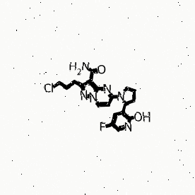 NC(=O)c1c(CCCCl)nn2ccc(N3CCCC3c3cc(F)cnc3O)nc12